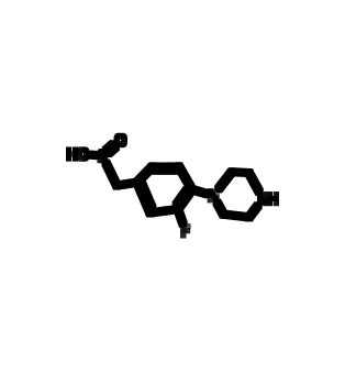 O=S(O)Cc1ccc(N2CCNCC2)c(F)c1